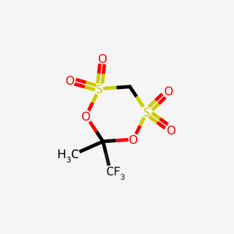 CC1(C(F)(F)F)OS(=O)(=O)CS(=O)(=O)O1